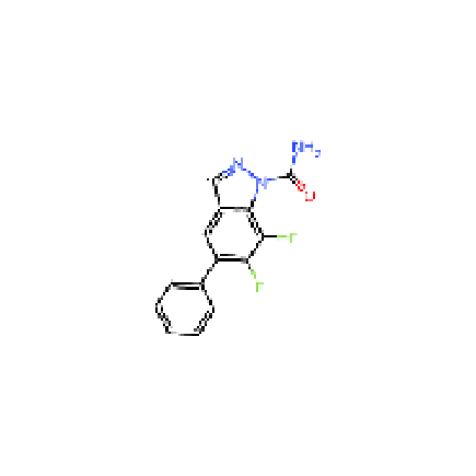 NC(=O)n1n[c]c2cc(-c3ccccc3)c(F)c(F)c21